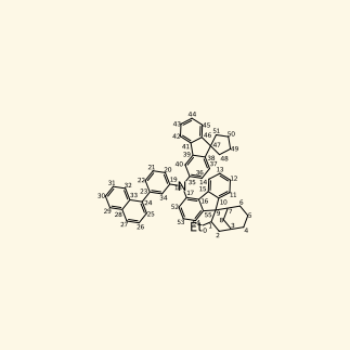 CCC1CC2CCCC(C2)C12c1ccccc1-c1c(N(c3cccc(-c4cccc5ccccc45)c3)c3ccc4c(c3)-c3ccccc3C43CCCC3)cccc12